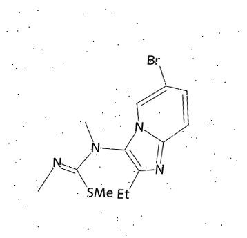 CCc1nc2ccc(Br)cn2c1N(C)/C(=N/C)SC